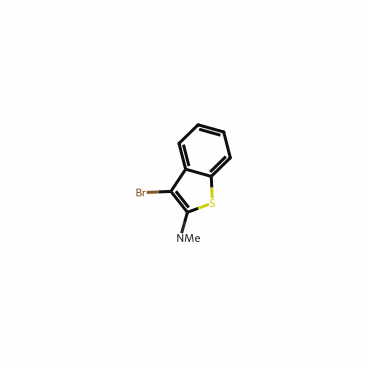 CNc1sc2ccccc2c1Br